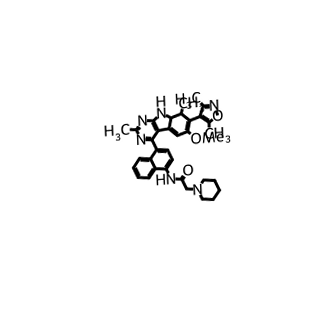 COC1=C(c2c(C)noc2C)C(C)C2Nc3nc(C)nc(-c4ccc(NC(=O)CN5CCCCC5)c5ccccc45)c3C2=C1